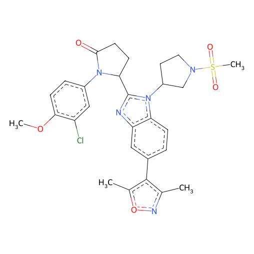 COc1ccc(N2C(=O)CCC2c2nc3cc(-c4c(C)noc4C)ccc3n2C2CCN(S(C)(=O)=O)C2)cc1Cl